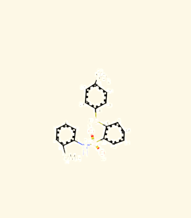 COc1ccccc1NS(=O)(=O)c1ccccc1Sc1ccc([N+](=O)[O-])cc1